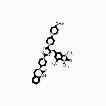 COC1CCN(C2CCN(C(=O)[C@@H](Cc3cc(C)c4c(c3)n(C)c(=O)n4C)OC(=O)N3CCC(N4CCc5ccccc5NC4=O)CC3)CC2)CC1